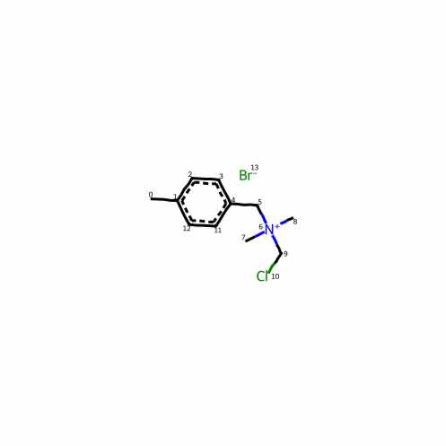 Cc1ccc(C[N+](C)(C)CCl)cc1.[Br-]